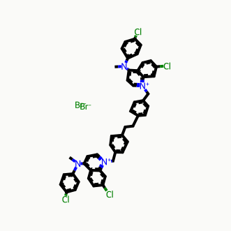 CN(c1ccc(Cl)cc1)c1cc[n+](Cc2ccc(CCc3ccc(C[n+]4ccc(N(C)c5ccc(Cl)cc5)c5ccc(Cl)cc54)cc3)cc2)c2cc(Cl)ccc12.[Br-].[Br-]